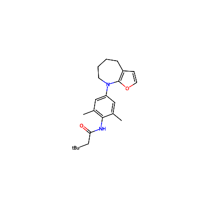 Cc1cc(N2CCCCc3ccoc32)cc(C)c1NC(=O)CC(C)(C)C